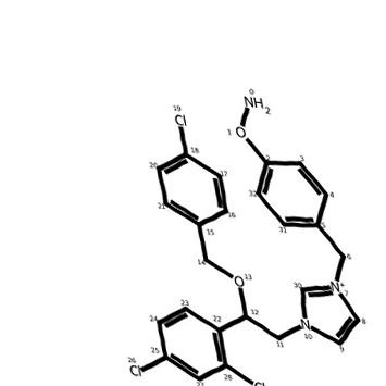 NOc1ccc(C[n+]2ccn(CC(OCc3ccc(Cl)cc3)c3ccc(Cl)cc3Cl)c2)cc1